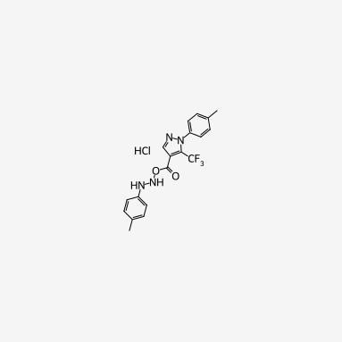 Cc1ccc(NNOC(=O)c2cnn(-c3ccc(C)cc3)c2C(F)(F)F)cc1.Cl